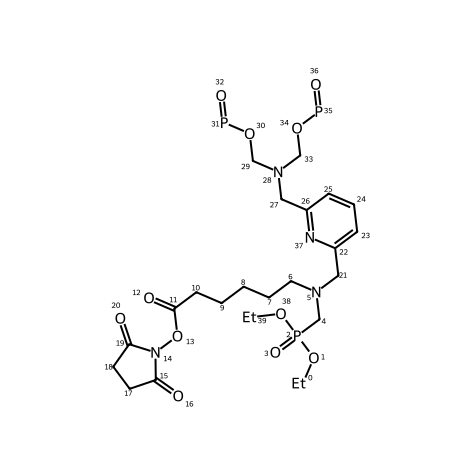 CCOP(=O)(CN(CCCCCC(=O)ON1C(=O)CCC1=O)Cc1cccc(CN(COP=O)COP=O)n1)OCC